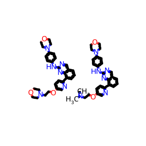 CN(C)CCOc1ccc(-c2cccc3cnc(Nc4ccc(N5CCOCC5)cc4)nc23)nc1.c1cc(-c2ccc(OCCN3CCOCC3)cn2)c2nc(Nc3ccc(N4CCOCC4)cc3)ncc2c1